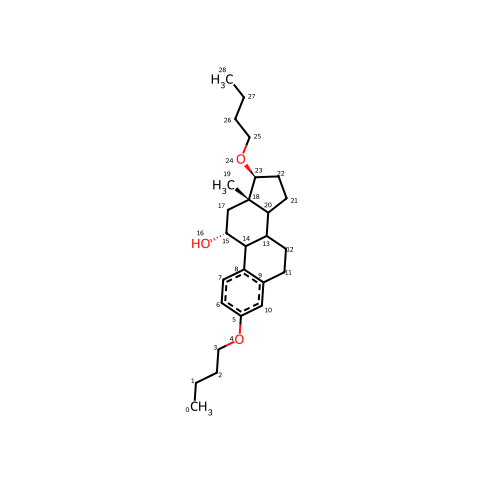 CCCCOc1ccc2c(c1)CCC1C2[C@H](O)C[C@@]2(C)C1CC[C@@H]2OCCCC